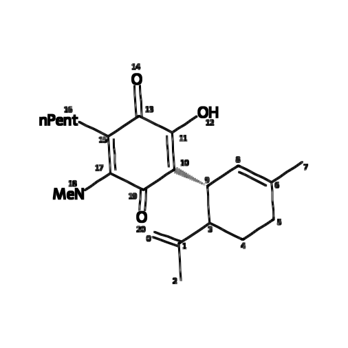 C=C(C)C1CCC(C)=C[C@H]1C1=C(O)C(=O)C(CCCCC)=C(NC)C1=O